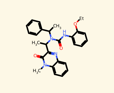 CCOc1ccccc1NC(=O)N(C(C)c1ccccc1)C(C)c1nc2ccccc2n(C)c1=O